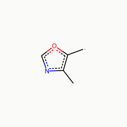 [CH2]c1ocnc1C